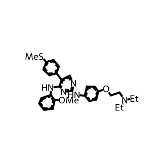 CCN(CC)CCOc1ccc(Nc2ncc(-c3ccc(SC)cc3)c(Nc3ccccc3OC)n2)cc1